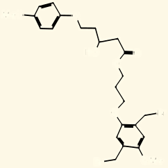 COc1ccc(OCCC(O)CC(=O)OCCCOc2cc(CBr)c(OC)cc2CBr)cc1